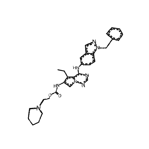 CCc1c(NC(=O)OCCN2CCCCC2)cn2ncnc(Nc3ccc4c(cnn4Cc4ccccc4)c3)c12